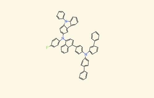 Fc1ccc(N(c2ccc3c(c2)c2ccccc2n3-c2ccccc2)c2ccc(-c3ccc(N(c4ccc(-c5ccccc5)cc4)c4cccc(-c5ccccc5)c4)cc3)c3ccccc23)cc1